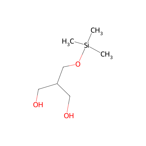 C[Si](C)(C)OCC(CO)CO